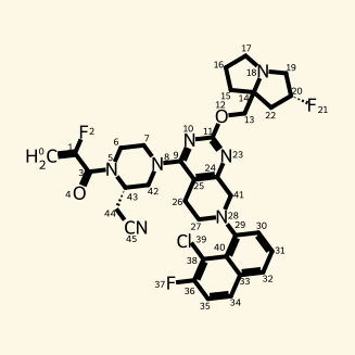 C=C(F)C(=O)N1CCN(c2nc(OCC34CCCN3C[C@H](F)C4)nc3c2CCN(c2cccc4ccc(F)c(Cl)c24)C3)C[C@@H]1CC#N